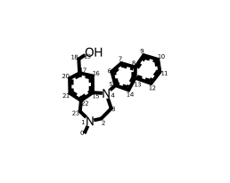 CN1CCN(c2ccc3ccccc3c2)c2cc(CO)ccc2C1